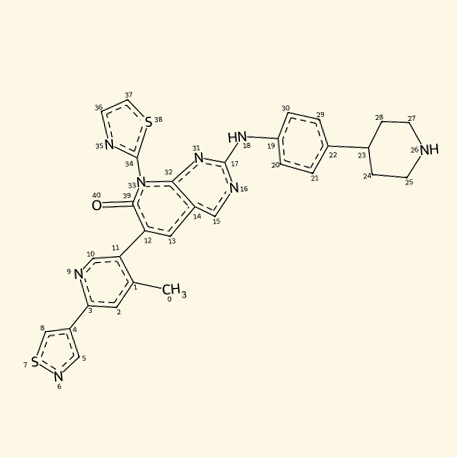 Cc1cc(-c2cnsc2)ncc1-c1cc2cnc(Nc3ccc(C4CCNCC4)cc3)nc2n(-c2nccs2)c1=O